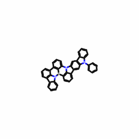 c1ccc(-n2c3ccccc3c3cc4c(cc32)c2cccc3c2n4-c2cccc4c2B3n2c3ccccc3c3cccc-4c32)cc1